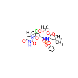 CCOC(=O)[C@@H](CC(C)C)N[P@](=O)(OC[C@H]1O[C@@H](n2ccc(=O)[nH]c2=O)[C@](C)(Cl)[C@@H]1O)Oc1ccccc1